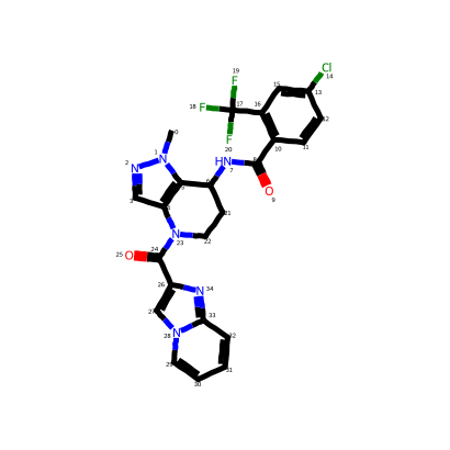 Cn1ncc2c1C(NC(=O)c1ccc(Cl)cc1C(F)(F)F)CCN2C(=O)c1cn2ccccc2n1